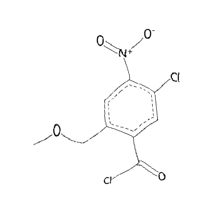 COCc1cc([N+](=O)[O-])c(Cl)cc1C(=O)Cl